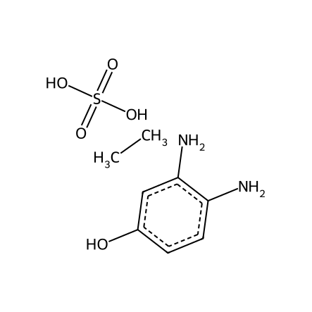 CC.Nc1ccc(O)cc1N.O=S(=O)(O)O